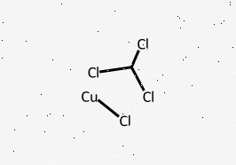 ClC(Cl)Cl.[Cl][Cu]